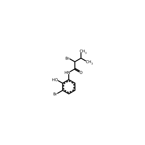 CC(C)C(Br)C(=O)Nc1cccc(Br)c1O